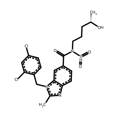 Cc1nc2ccc(C(=O)N(CCC[C@H](C)O)[SH](=O)=O)cc2n1Cc1ccc(Cl)cc1Cl